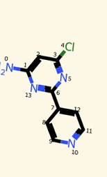 Nc1cc(Cl)nc(-c2ccncc2)n1